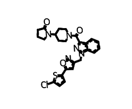 O=C(c1nn(Cc2cc(-c3ccc(Cl)s3)on2)c2ccccc12)N1CCC(N2CCCC2=O)CC1